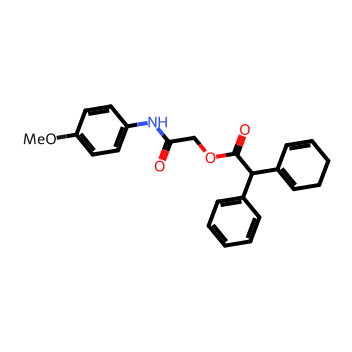 COc1ccc(NC(=O)COC(=O)C(C2=CCCC=C2)c2ccccc2)cc1